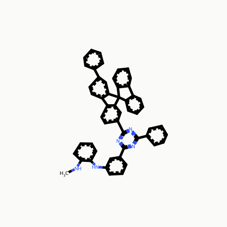 CNc1ccccc1Nc1cccc(-c2nc(-c3ccccc3)nc(-c3ccc4c(c3)C3(c5ccccc5-c5ccccc53)c3cc(-c5ccccc5)ccc3-4)n2)c1